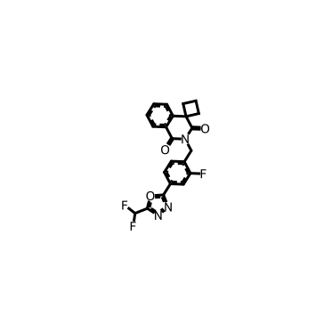 O=C1c2ccccc2C2(CCC2)C(=O)N1Cc1ccc(-c2nnc(C(F)F)o2)cc1F